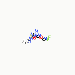 Cc1nsc(Nc2cnc(C(F)(F)F)cn2)c1C(=O)Nc1ccc(OCC2CCCN(CC(F)F)C2)nc1